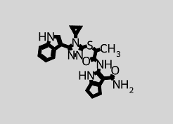 CC(Sc1nnc(-c2c[nH]c3ccccc23)n1C1CC1)C(=O)Nc1[nH]c2c(c1C(N)=O)CCC2